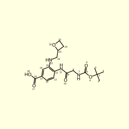 CC(C)(C)OC(=O)NCC(=O)Nc1ccc(C(=O)O)cc1NCC1CCO1